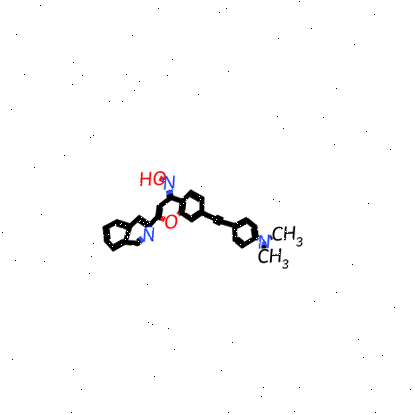 CN(C)c1ccc(C#Cc2ccc3/c(=N/O)cc(-c4cc5ccccc5cn4)oc3c2)cc1